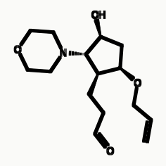 C=CCO[C@@H]1C[C@H](O)[C@@H](N2CCOCC2)[C@@H]1CCC=O